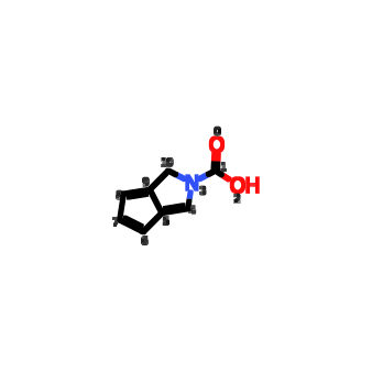 O=C(O)N1C=C2C=CC=C2C1